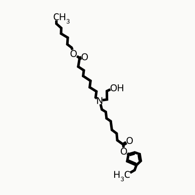 CCCCCCCOC(=O)CCCCCCCN(CCO)CCCCCCCC(=O)Oc1cccc(CC)c1